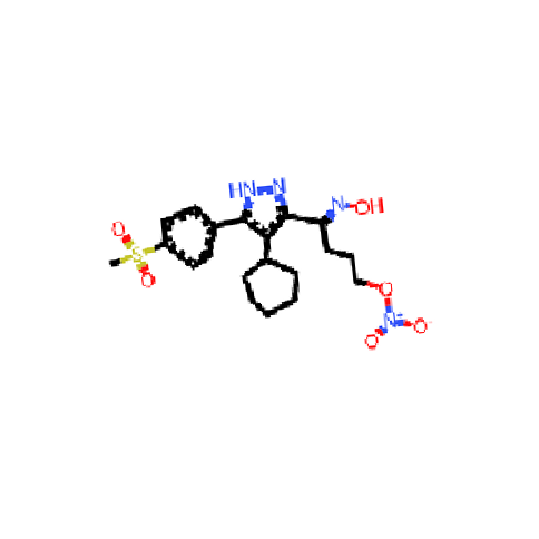 CS(=O)(=O)c1ccc(-c2[nH]nc(C(CCCO[N+](=O)[O-])=NO)c2C2CCCCC2)cc1